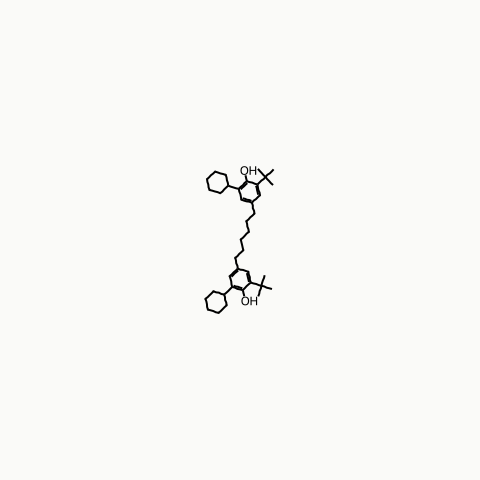 CC(C)(C)c1cc(CCCCCCc2cc(C3CCCCC3)c(O)c(C(C)(C)C)c2)cc(C2CCCCC2)c1O